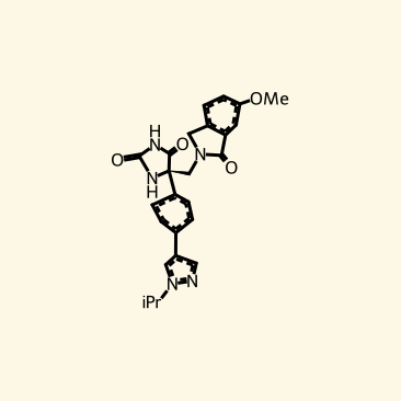 COc1ccc2c(c1)C(=O)N(C[C@@]1(c3ccc(-c4cnn(C(C)C)c4)cc3)NC(=O)NC1=O)C2